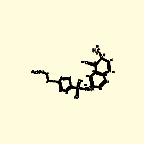 CC(=O)NCCc1ccc(S(=O)(=O)Nc2ccc3ncn(C)c(=O)c3c2)cc1